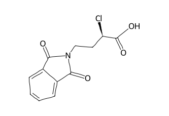 O=C(O)[C@H](Cl)CCN1C(=O)c2ccccc2C1=O